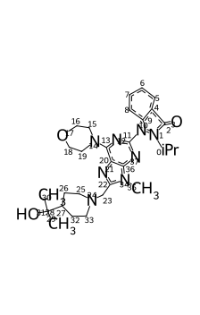 CC(C)n1c(=O)c2ccccc2n1-c1nc(N2CCOCC2)c2nc(CN3CCC(C(C)(C)O)CC3)n(C)c2n1